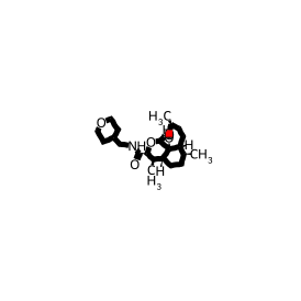 C[C@H]1[C@H](C(=O)NCC2CCOCC2)O[C@@H]2O[C@@]3(C)CC[C@H]4[C@H](C)CC[C@@H]1[C@@]24OO3